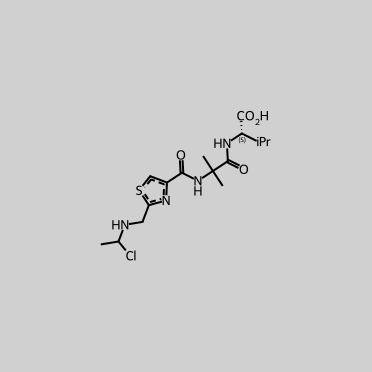 CC(Cl)NCc1nc(C(=O)NC(C)(C)C(=O)N[C@H](C(=O)O)C(C)C)cs1